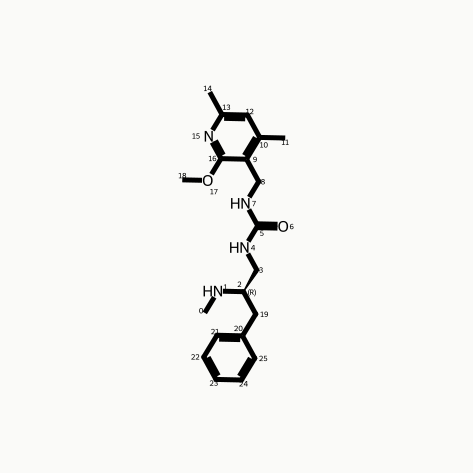 CN[C@@H](CNC(=O)NCc1c(C)cc(C)nc1OC)Cc1ccccc1